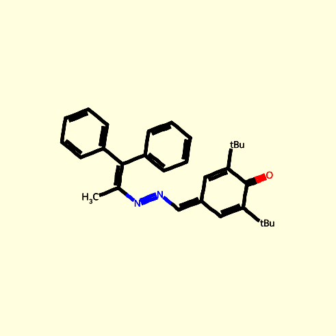 CC(/N=N/C=C1C=C(C(C)(C)C)C(=O)C(C(C)(C)C)=C1)=C(c1ccccc1)c1ccccc1